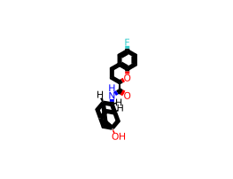 O=C(N[C@H]1[C@@H]2CC3C[C@H]1C[C@](O)(C3)C2)[C@H]1CCc2cc(F)ccc2O1